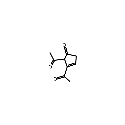 CC(=O)C1=CCC(=O)C1C(C)=O